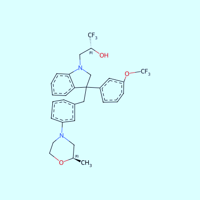 C[C@@H]1CN(c2cccc(CC3(c4cccc(OC(F)(F)F)c4)CN(C[C@@H](O)C(F)(F)F)c4ccccc43)c2)CCO1